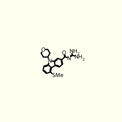 CSc1cccc2c1c1ccc(C(=O)N=C(N)N)cc1n2C1CCOCC1